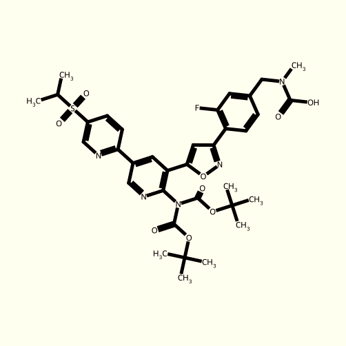 CC(C)S(=O)(=O)c1ccc(-c2cnc(N(C(=O)OC(C)(C)C)C(=O)OC(C)(C)C)c(-c3cc(-c4ccc(CN(C)C(=O)O)cc4F)no3)c2)nc1